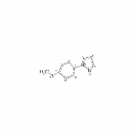 CSc1ccc(-n2cccn2)cc1